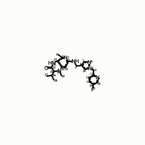 Cc1nc(NCc2cnn(Cc3ccc(F)cn3)c2)cc2c1NC(=O)C(C(C)C)N2C